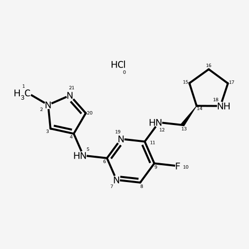 Cl.Cn1cc(Nc2ncc(F)c(NC[C@H]3CCCN3)n2)cn1